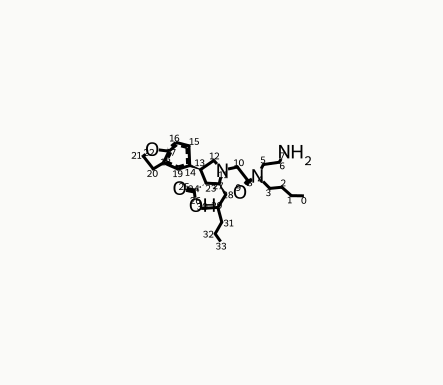 CCCCN(CCN)C(=O)CN1C[C@H](c2ccc3c(c2)CCO3)[C@@H](C(=O)O)[C@@H]1CC(C)CCC